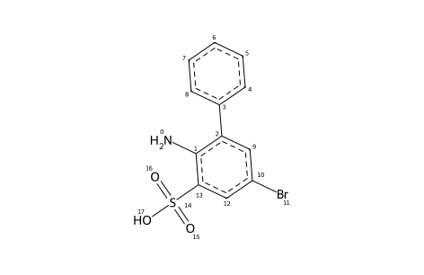 Nc1c(-c2ccccc2)cc(Br)cc1S(=O)(=O)O